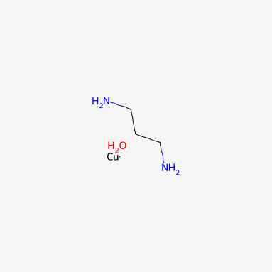 NCCCN.O.[Cu]